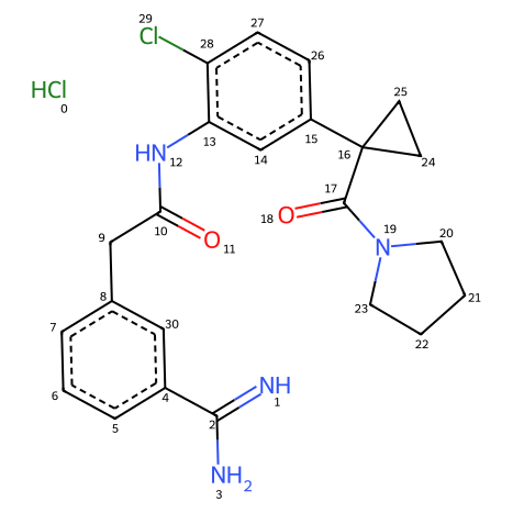 Cl.N=C(N)c1cccc(CC(=O)Nc2cc(C3(C(=O)N4CCCC4)CC3)ccc2Cl)c1